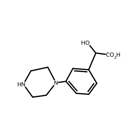 O=C(O)C(O)c1cccc(N2CCNCC2)c1